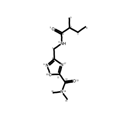 CCC(C)C(=O)NCc1noc(C(=O)N(C)C)n1